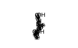 O=C(O)c1ccc(-c2ncc(CN3CC[C@@H](C(=O)N4CCC(O)(Cn5cnc6c(ccn6-c6ccccc6)c5=O)CC4)[C@H](c4ccccc4)C3)s2)cn1